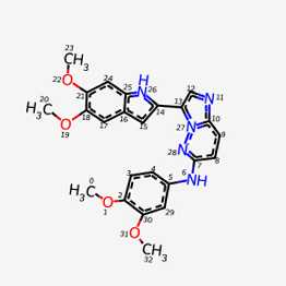 COc1ccc(Nc2ccc3ncc(-c4cc5cc(OC)c(OC)cc5[nH]4)n3n2)cc1OC